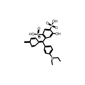 C=c1ccc(=C(c2ccc(N(CC)CC)cc2)c2cc(O)c(S(=O)(=O)O)cc2S(=O)(=O)O)cc1